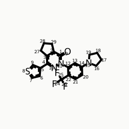 O=c1c2c(c(-c3ccsc3)nn1-c1cc(N3CCCC3)ccc1C(F)(F)F)CCC2